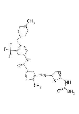 BC(=O)Nc1ncc(C#Cc2cc(C(=O)Nc3ccc(CN4CCN(C)CC4)c(C(F)(F)F)c3)ccc2C)s1